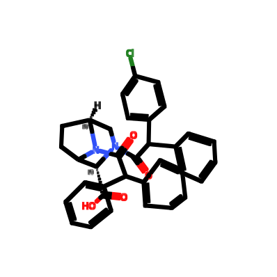 O=C(O)[C@@H]1C2CC[C@@H](CN1C(=O)C(c1ccccc1)c1ccc(Cl)cc1)N2C(=O)C(c1ccccc1)c1ccccc1